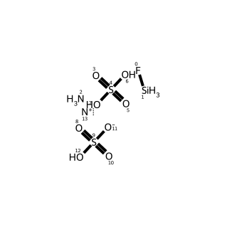 F[SiH3].N.O=S(=O)(O)O.O=S(=O)([O-])O.[N+]